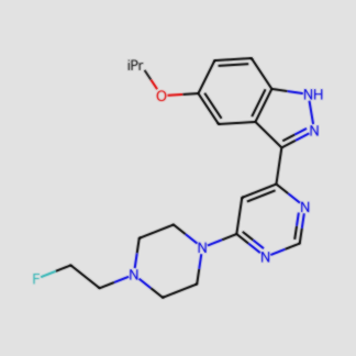 CC(C)Oc1ccc2[nH]nc(-c3cc(N4CCN(CCF)CC4)ncn3)c2c1